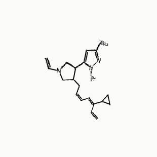 C=C/C(=C\C=C/CC1CN(C=C)CC1c1cc(C(C)CC)nn1C(C)C)C1CC1